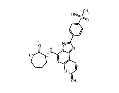 C=C/C=C\c1c(C)nc(N[C@@H]2CCCCNC2=O)n2nc(-c3ccc(S(C)(=N)=O)cc3)nc12